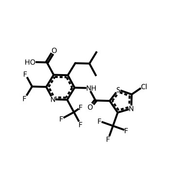 CC(C)Cc1c(NC(=O)c2sc(Cl)nc2C(F)(F)F)c(C(F)(F)F)nc(C(F)F)c1C(=O)O